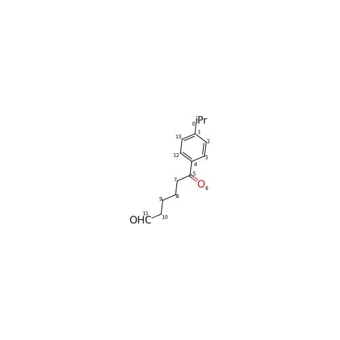 CC(C)c1ccc(C(=O)CCCCC=O)cc1